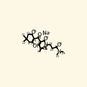 Cc1cc(C(=O)C2=C(O)CC(C)(C)CC2=O)c(=O)n(CCC(=O)N(C)C)n1.[Na]